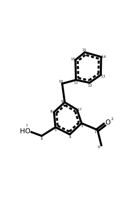 CC(=O)c1cc(CO)cc(Cc2ccccc2)c1